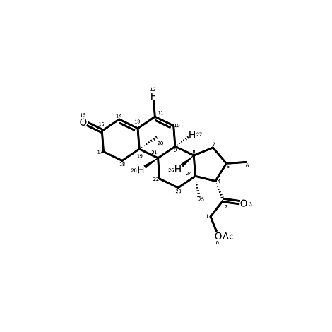 CC(=O)OCC(=O)[C@H]1C(C)C[C@H]2[C@@H]3C=C(F)C4=CC(=O)CC[C@]4(C)[C@H]3CC[C@]12C